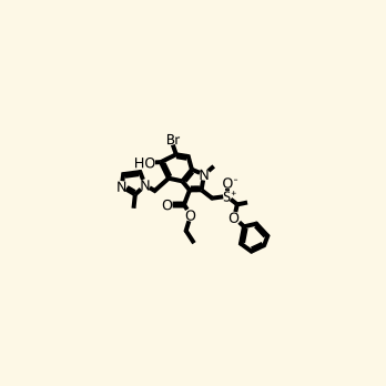 CCOC(=O)c1c(C[S+]([O-])C(C)Oc2ccccc2)n(C)c2cc(Br)c(O)c(Cn3ccnc3C)c12